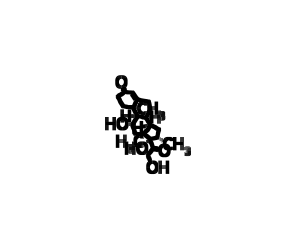 C[C@H]1C[C@H]2[C@@H]3CCC4=CC(=O)CC[C@]4(C)[C@H]3[C@@H](O)C[C@]2(C)[C@@]1(O)C(=O)CO